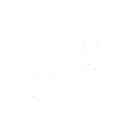 Fc1ccc(-n2c3ccccc3c3cc(N(c4ccc(Oc5ccccc5)cc4)c4ccc(-c5ccc([Si](c6ccccc6)(c6ccccc6)c6ccccc6)cc5)cc4)ccc32)cc1